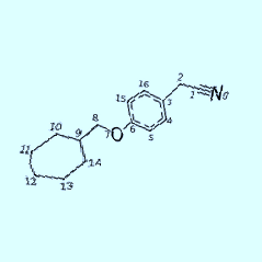 N#CCc1ccc(OCC2CCCCC2)cc1